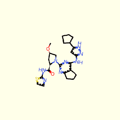 CO[C@H]1C[C@H](C(=O)Nc2nccs2)N(c2nc3c(c(Nc4cc(C5CCCC5)[nH]n4)n2)CCC3)C1